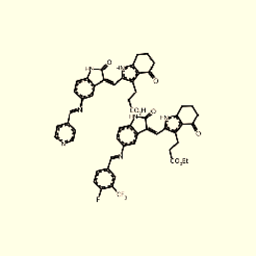 CCOC(=O)CCc1c(/C=C2\C(=O)Nc3ccc(/N=C/c4ccc(F)c(C(F)(F)F)c4)cc32)[nH]c2c1C(=O)CCC2.O=C(O)CCc1c(/C=C2\C(=O)Nc3ccc(/N=C/c4ccncc4)cc32)[nH]c2c1C(=O)CCC2